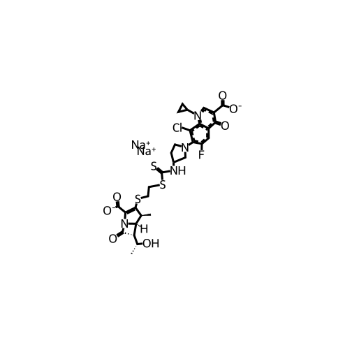 C[C@@H]1C(SCCSC(=S)NC2CCN(c3c(F)cc4c(=O)c(C(=O)[O-])cn(C5CC5)c4c3Cl)C2)=C(C(=O)[O-])N2C(=O)[C@@H]([C@@H](C)O)[C@H]12.[Na+].[Na+]